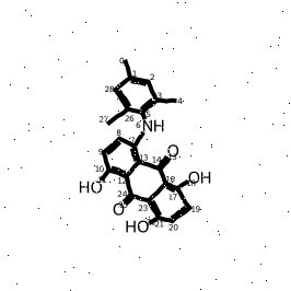 Cc1cc(C)c(Nc2ccc(O)c3c2C(=O)c2c(O)ccc(O)c2C3=O)c(C)c1